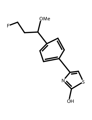 COC(CCF)c1ccc(-c2csc(O)n2)cc1